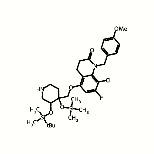 COc1ccc(CN2C(=O)CCc3c(OCC4(O[Si](C)(C)C)CCNCC4O[Si](C)(C)C(C)(C)C)cc(F)c(Cl)c32)cc1